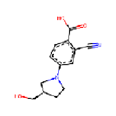 N#Cc1cc(N2CC[C@@H](CO)C2)ccc1C(=O)O